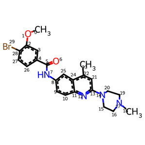 COc1cc(C(=O)Nc2ccc3nc(N4CCN(C)CC4)cc(C)c3c2)ccc1Br